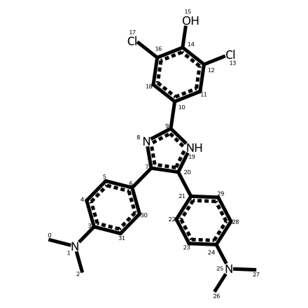 CN(C)c1ccc(-c2nc(-c3cc(Cl)c(O)c(Cl)c3)[nH]c2-c2ccc(N(C)C)cc2)cc1